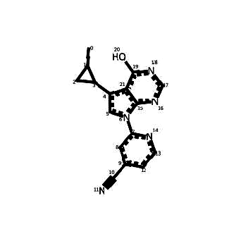 CC1CC1c1cn(-c2cc(C#N)ccn2)c2ncnc(O)c12